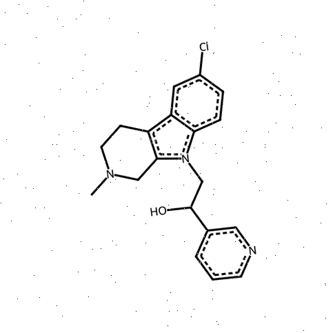 CN1CCc2c(n(CC(O)c3cccnc3)c3ccc(Cl)cc23)C1